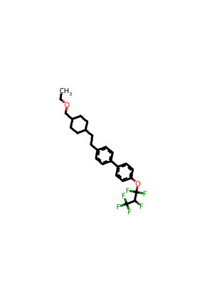 CCOCC1CCC(CCc2ccc(-c3ccc(OC(F)(F)C(F)C(F)(F)F)cc3)cc2)CC1